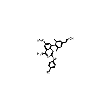 COc1cc(-c2c(C)cc(/C=C/C#N)cc2C)c2nc(Nc3ccc(C#N)cc3)nc(N)c2c1